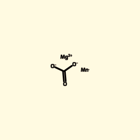 O=C([O-])[O-].[Mg+2].[Mn]